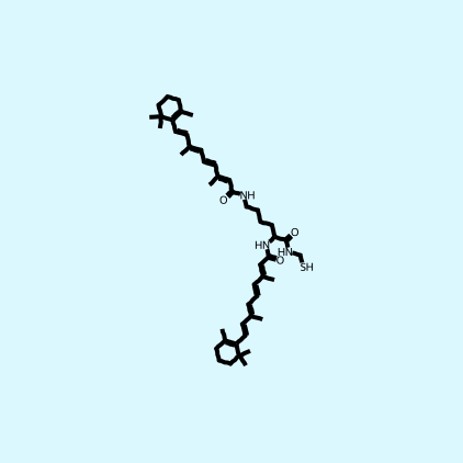 CC1=C(/C=C/C(C)=C/C=C/C(C)=C/C(=O)NCCCCC(NC(=O)/C=C(C)/C=C/C=C(C)/C=C/C2=C(C)CCCC2(C)C)C(=O)NCS)C(C)(C)CCC1